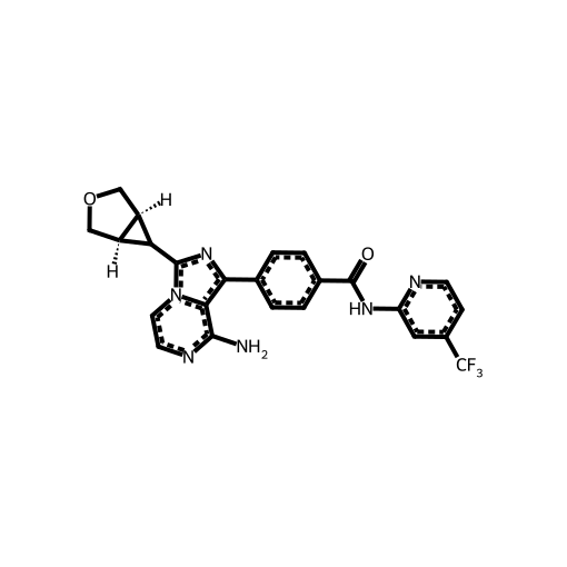 Nc1nccn2c(C3[C@H]4COC[C@@H]34)nc(-c3ccc(C(=O)Nc4cc(C(F)(F)F)ccn4)cc3)c12